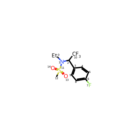 CCN(C(c1ccc(F)cc1)C(F)(F)F)S(C)(=O)=O